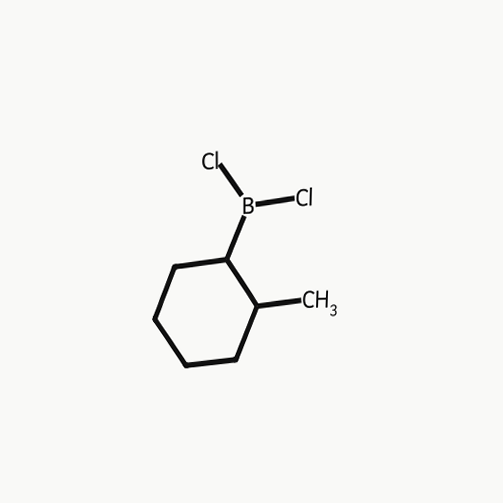 CC1CCCCC1B(Cl)Cl